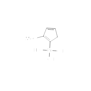 COC1=[C]([Pt]([CH3])([CH3])[CH3])CC=C1